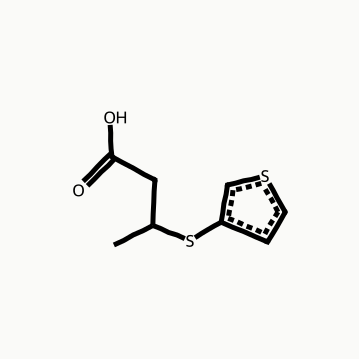 CC(CC(=O)O)Sc1ccsc1